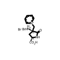 Br.N[C@]1(C[n+]2ccccc2)C[C@H](C(=O)O)NC1=O.[Br-]